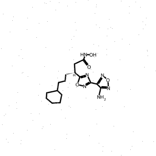 Nc1nonc1-c1noc([C@H](CCCC2CCCCC2)CC(=O)NO)n1